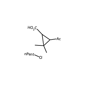 CC(=O)C1C(C(=O)O)C1(C)C.CCCCCCl